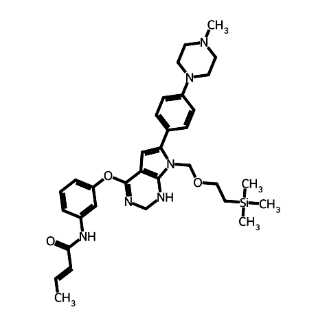 CC=CC(=O)Nc1cccc(OC2=NCNc3c2cc(-c2ccc(N4CCN(C)CC4)cc2)n3COCC[Si](C)(C)C)c1